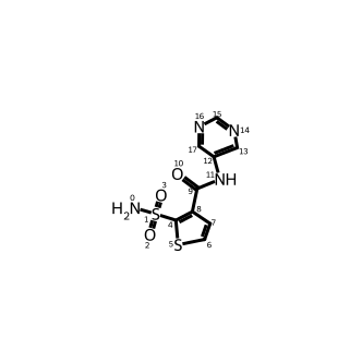 NS(=O)(=O)c1sccc1C(=O)Nc1cncnc1